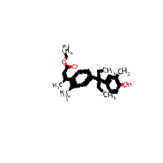 CCOC(=O)/C=C(/C)c1ccc(C(CC)(CC)c2ccc(O)c(C)c2)cc1C